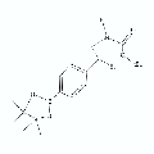 CCC(CN(CC)C(=O)OC(C)(C)C)c1ccc(B2OC(C)(C)C(C)(C)O2)cc1